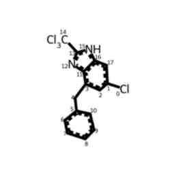 Clc1cc(Cc2ccccc2)c2nc(C(Cl)(Cl)Cl)[nH]c2c1